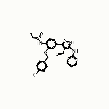 CC[S+]([O-])Nc1ccc(-c2n[nH]c(Nc3ccccn3)c2C=O)cc1OCc1ccc(Cl)cc1